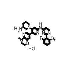 COc1cccc(F)c1-c1nccc(Nc2cc(N3CCC[C@H](N)C3)c(-c3cnc4c(c3)OCCN4C)cn2)n1.Cl